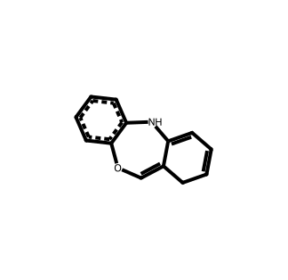 C1=CCC2=COc3ccccc3NC2=C1